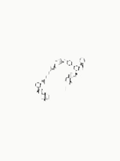 CCN(c1cc(-c2ccc(CN3CCN(CC(=O)NCCCCCCNc4cccc5c4CN(C4CCC(=O)NC4=O)C5=O)CC3)cc2)cc(C(=O)NCc2c(C)cc(C)[nH]c2=O)c1C)C1CCOCC1